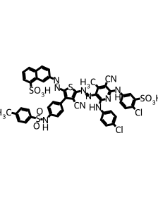 Cc1ccc(S(=O)(=O)Nc2ccc(-c3c(N=Nc4ccc5cccc(S(=O)(=O)O)c5c4)sc(N=Nc4c(Nc5ccc(Cl)cc5)nc(Nc5ccc(Cl)c(S(=O)(=O)O)c5)c(C#N)c4C)c3C#N)cc2)cc1